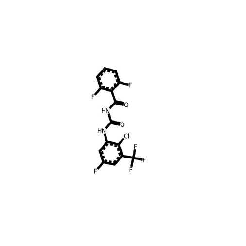 O=C(NC(=O)c1c(F)cccc1F)Nc1cc(F)cc(C(F)(F)F)c1Cl